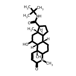 CN1C(=O)C=C[C@@]2(C)C1CC[C@@H]1[C@H]2C(O)C[C@]2(C)C(C(=O)NC(C)(C)C)CC[C@@H]12